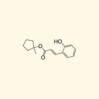 CC1(OC(=O)/C=C/c2ccccc2O)CCCC1